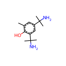 Cc1cc(C(C)(C)N)cc(C(C)(C)N)c1O